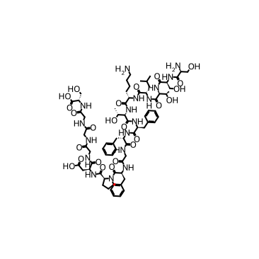 CC(C)C[C@H](NC(=O)[C@@H](NC(=O)[C@H](CO)NC(=O)[C@@H](N)CO)[C@@H](C)O)C(=O)N[C@@H](CCCCN)C(=O)N[C@H](C(=O)N[C@@H](Cc1ccccc1)C(=O)N[C@@H](Cc1ccccc1)C(=O)NCC(=O)N[C@@H](Cc1ccccc1)C(=O)N1CCC[C@H]1C(=O)N[C@@H](CC(=O)O)C(=O)NCC(=O)NCC(=O)NCC(=O)N[C@@H](CO)C(=O)O)[C@@H](C)O